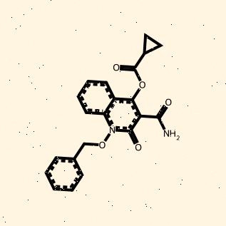 NC(=O)c1c(OC(=O)C2CC2)c2ccccc2n(OCc2ccccc2)c1=O